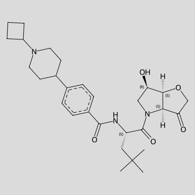 CC(C)(C)C[C@H](NC(=O)c1ccc(C2CCN(C3CCC3)CC2)cc1)C(=O)N1C[C@@H](O)[C@H]2OCC(=O)[C@H]21